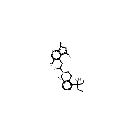 C[C@H]1c2cccc(C(O)(CF)CF)c2CCN1C(=O)Cc1c(Cl)cnc2[nH]nc(Cl)c12